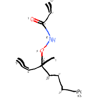 C=CC(=O)NOC(C)(C=C)CCCC(C)C